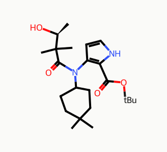 C[C@H](O)C(C)(C)C(=O)N(c1cc[nH]c1C(=O)OC(C)(C)C)C1CCC(C)(C)CC1